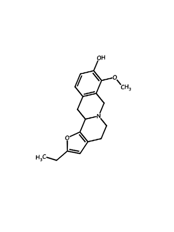 CCc1cc2c(o1)C1Cc3ccc(O)c(OC)c3CN1CC2